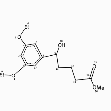 CCOc1cc(OCC)cc(C(O)CCCC(=O)OC)c1